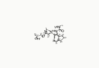 CNC(=O)Nc1c(-c2ccnc(OCC(C)O)c2)ccc2c1CCC2